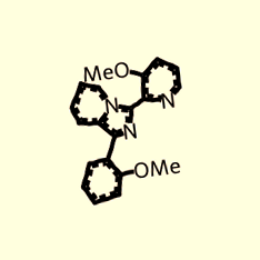 COc1ccccc1-c1nc(-c2ncccc2OC)n2ccccc12